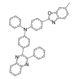 Cc1ccc2nc(-c3ccc(N(c4ccccc4)c4ccc(-c5nc6ccccc6nc5-c5ccccc5)cc4)cc3)oc2c1